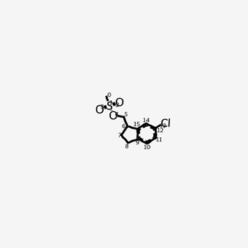 CS(=O)(=O)OCC1CCc2ccc(Cl)cc21